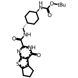 CC(C)(C)OC(=O)N[C@H]1CC[C@H](CNC(=O)c2nc3sc4c(c3c(=O)[nH]2)CCC4)CC1